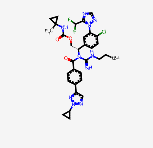 CC(C)(C)CCNC(=N)N(C(=O)c1ccc(-c2cnn(C3CC3)n2)cc1)[C@H](COC(=O)NC1(C(F)(F)F)CC1)c1ccc(Cl)c(-n2ncnc2C(F)F)c1